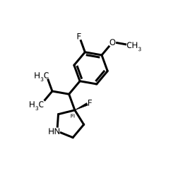 COc1ccc(C(C(C)C)[C@]2(F)CCNC2)cc1F